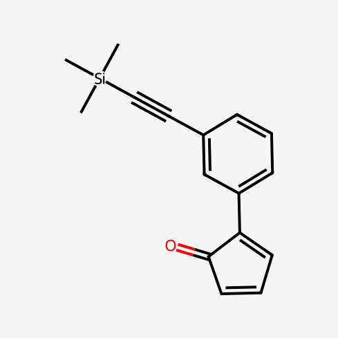 C[Si](C)(C)C#Cc1cccc(C2=CC=CC2=O)c1